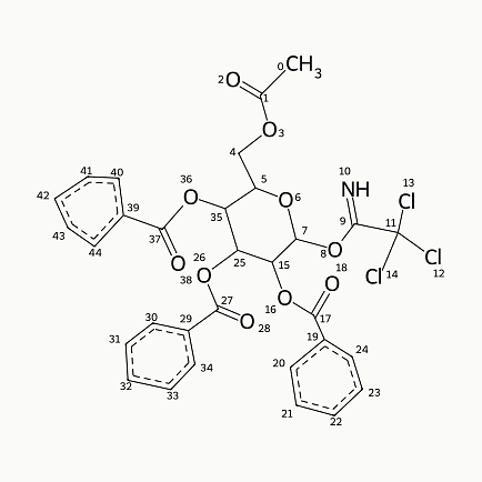 CC(=O)OCC1OC(OC(=N)C(Cl)(Cl)Cl)C(OC(=O)c2ccccc2)C(OC(=O)c2ccccc2)C1OC(=O)c1ccccc1